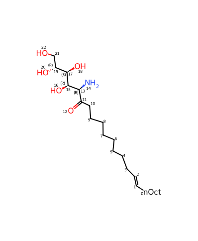 CCCCCCCCC=CCCCCCCCCC(=O)[C@H](N)[C@@H](O)[C@H](O)[C@H](O)CO